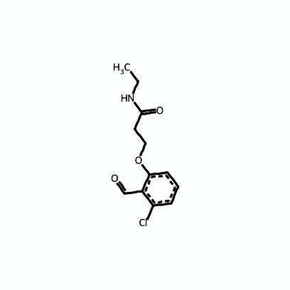 CCNC(=O)CCOc1cccc(Cl)c1C=O